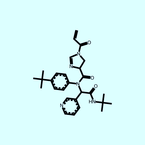 C=CC(=O)N1C=NC(C(=O)N(c2ccc(C(C)(C)C)cc2)C(C(=O)NC(C)(C)C)c2cccnc2)C1